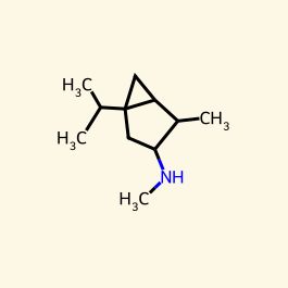 CNC1CC2(C(C)C)CC2C1C